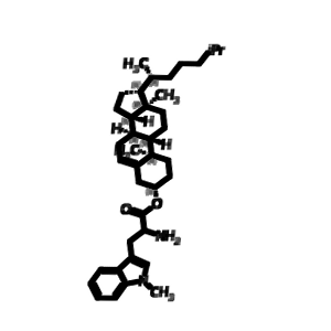 CC(C)CCC[C@@H](C)[C@H]1CC[C@H]2[C@@H]3CC=C4C[C@@H](OC(=O)C(N)Cc5cn(C)c6ccccc56)CC[C@]4(C)[C@H]3CC[C@]12C